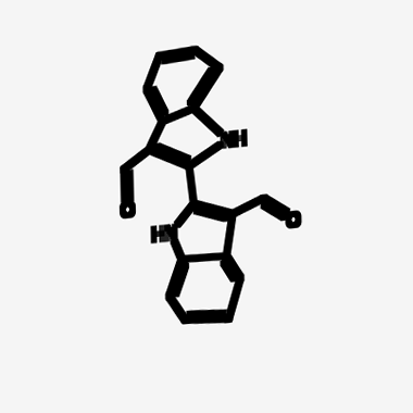 O=Cc1c(-c2[nH]c3ccccc3c2C=O)[nH]c2ccccc12